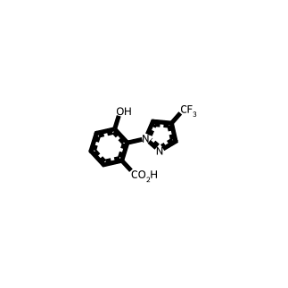 O=C(O)c1cccc(O)c1-n1cc(C(F)(F)F)cn1